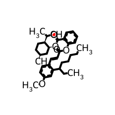 CCCCCC(CC)c1cc(OC)ccc1/C=C/C(=O)Oc1ccccc1C(=O)O[C@@H]1C[C@H](C)CC[C@H]1C(C)C